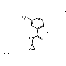 O=C(NC1CC1)c1cccc(C(F)(F)F)c1